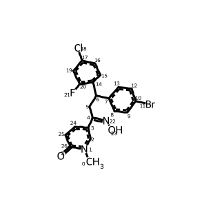 Cn1cc(C(CC(c2ccc(Br)cc2)c2ccc(Cl)cc2F)=NO)ccc1=O